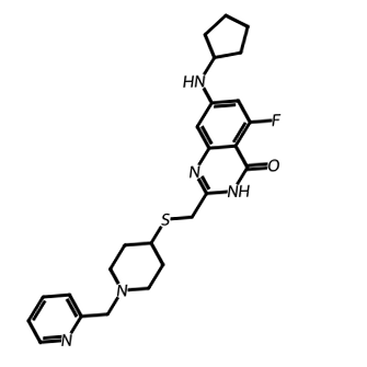 O=c1[nH]c(CSC2CCN(Cc3ccccn3)CC2)nc2cc(NC3CCCC3)cc(F)c12